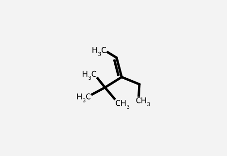 CC=C(CC)C(C)(C)C